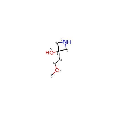 COCCC1(O)CNC1